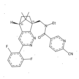 CCN(C[C@@]12CC[C@@H](c3cc(-c4c(F)cccc4F)nnc31)C2(C)C)C(=O)c1ccc(C#N)nc1